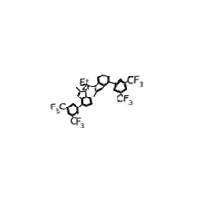 C[CH2][Zr]([CH]1C(C)=Cc2c(-c3cc(C(F)(F)F)cc(C(F)(F)F)c3)cccc21)[CH]1C(C)=Cc2c(-c3cc(C(F)(F)F)cc(C(F)(F)F)c3)cccc21